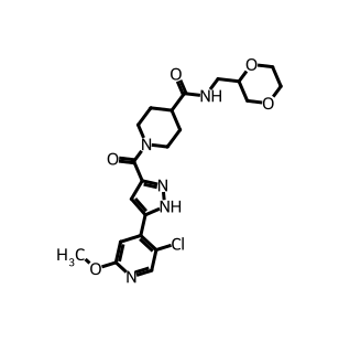 COc1cc(-c2cc(C(=O)N3CCC(C(=O)NCC4COCCO4)CC3)n[nH]2)c(Cl)cn1